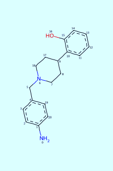 Nc1ccc(CN2CCC(c3ccccc3O)CC2)cc1